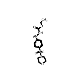 CCOC(=O)NNc1ccc(S(=O)(=O)N2CCOCC2)cc1